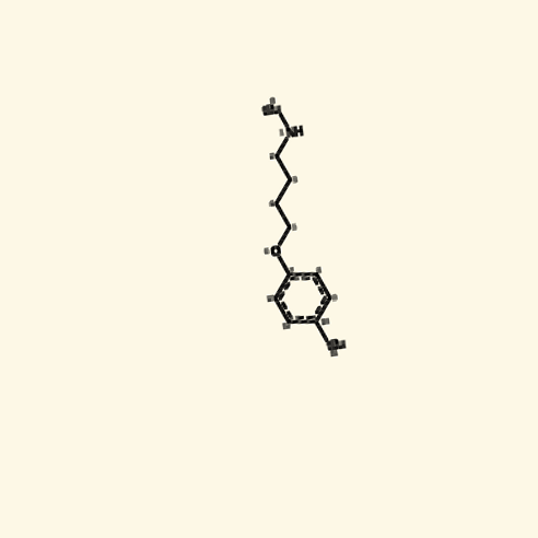 CC(C)(C)NCCCCOc1ccc(C(C)(C)C)cc1